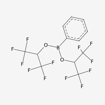 FC(F)(F)C(OB(OC(C(F)(F)F)C(F)(F)F)c1ccccc1)C(F)(F)F